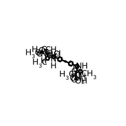 COC(=O)N[C@H](C(=O)N1C[C@@H](C)C[C@H]1c1nc(Cl)c(-c2ccc(C#Cc3ccc(-c4c[nH]c([C@@H]5C[C@H](C)CN5C(=O)[C@@H](NC(=O)O)C(C)C)n4)cc3)cc2)[nH]1)C(C)C